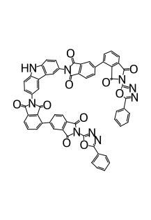 O=C1c2ccc(-c3cccc4c3C(=O)N(c3nnc(-c5ccccc5)o3)C4=O)cc2C(=O)N1c1ccc2[nH]c3ccc(N4C(=O)c5cccc(-c6ccc7c(c6)C(=O)N(c6nnc(-c8ccccc8)o6)C7=O)c5C4=O)cc3c2c1